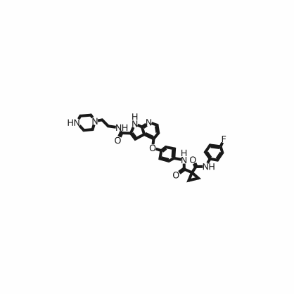 O=C(NCCN1CCNCC1)c1cc2c(Oc3ccc(NC(=O)C4(C(=O)Nc5ccc(F)cc5)CC4)cc3)ccnc2[nH]1